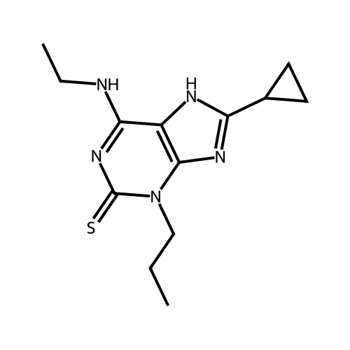 CCCn1c(=S)nc(NCC)c2[nH]c(C3CC3)nc21